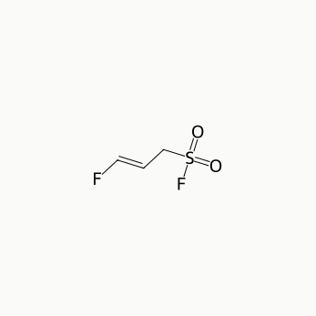 O=S(=O)(F)CC=CF